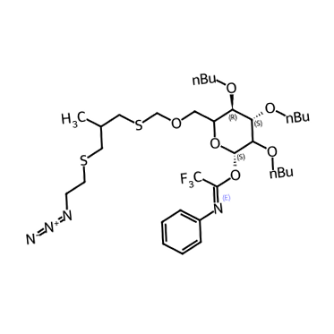 CCCCOC1[C@H](O/C(=N/c2ccccc2)C(F)(F)F)OC(COCSCC(C)CSCCN=[N+]=[N-])[C@@H](OCCCC)[C@@H]1OCCCC